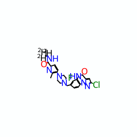 [2H]C([2H])([2H])NC(=O)c1ccc(N2CCN(Cc3ccc4c([nH]c(=O)c5cc(Cl)nn54)c3F)CC2)c(C)n1